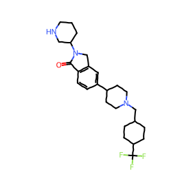 O=C1c2ccc(C3CCN(CC4CCC(C(F)(F)F)CC4)CC3)cc2CN1C1CCCNC1